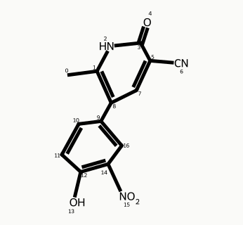 Cc1[nH]c(=O)c(C#N)cc1-c1ccc(O)c([N+](=O)[O-])c1